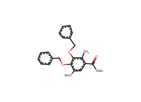 COC(=O)c1cc(OC)c(OCc2ccccc2)c(OCc2ccccc2)c1C